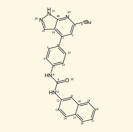 CC(C)(C)c1cc(-c2ccc(NC(=O)Nc3ccc4ccccc4c3)cc2)c2cn[nH]c2n1